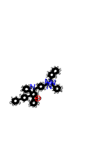 c1ccc(-c2ccc(-c3c4c(cc5c(-c6ccc(-c7nc(-c8ccccc8)nc(-c8ccc9ccccc9c8)n7)cc6)nc6ccccc6c35)oc3ccccc34)cc2)cc1